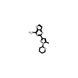 Cc1cc(-c2nc(N)c3occc3n2)nn1C1CCCCO1